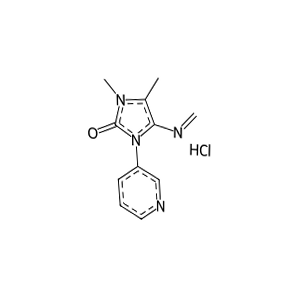 C=Nc1c(C)n(C)c(=O)n1-c1cccnc1.Cl